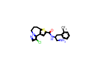 NCC(Cc1ccccc1C(F)(F)F)NC(=O)c1cc2c(s1)CCCn1ncc(Cl)c1-2